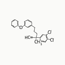 C#CC(C)(CCCc1cccc(Oc2ccccc2)c1)c1ccc(Cl)c(Cl)c1